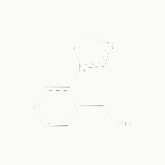 CC(C)(C)Cc1ccccc1-n1ccnc1